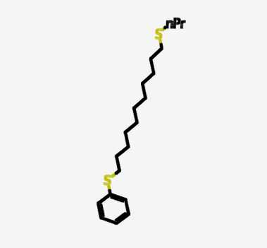 CCCSCCCCCCCCCCCSc1ccccc1